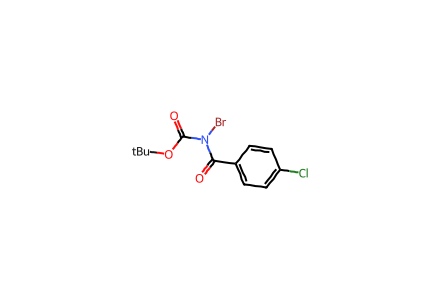 CC(C)(C)OC(=O)N(Br)C(=O)c1ccc(Cl)cc1